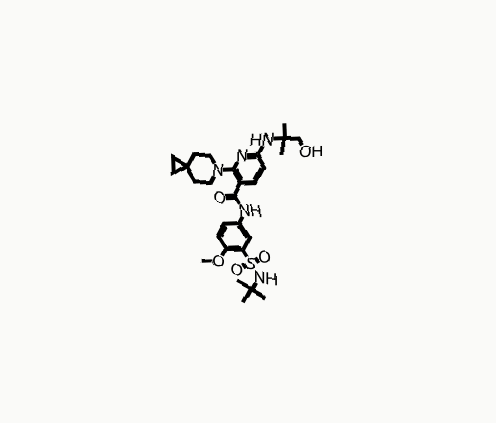 COc1ccc(NC(=O)c2ccc(NC(C)(C)CO)nc2N2CCC3(CC2)CC3)cc1S(=O)(=O)NC(C)(C)C